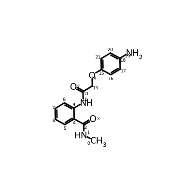 CNC(=O)c1ccccc1NC(=O)COc1ccc(N)cc1